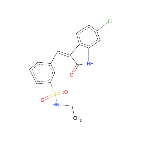 CCNS(=O)(=O)c1cccc(C=C2C(=O)Nc3cc(Cl)ccc32)c1